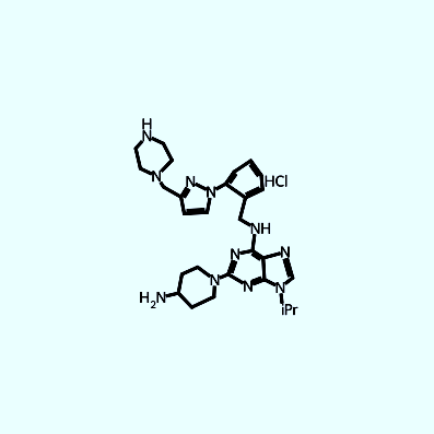 CC(C)n1cnc2c(NCc3ccccc3-n3ccc(CN4CCNCC4)n3)nc(N3CCC(N)CC3)nc21.Cl